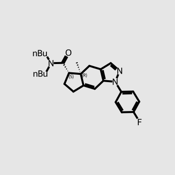 CCCCN(CCCC)C(=O)[C@H]1CCC2=Cc3c(cnn3-c3ccc(F)cc3)C[C@@]21C